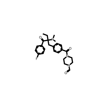 CCC(Cc1ccc(C(=O)N2CCN(C=O)CC2)cc1)(C(=O)c1ccc(F)cc1)N(C)C